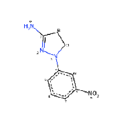 NC1=NN(c2cccc([N+](=O)[O-])c2)CC1